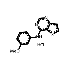 COc1cccc(Nc2ncnc3ccsc23)c1.Cl